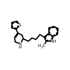 Cc1[nH]c2ccccc2c1CCCCC1CC(c2cccs2)=CCN1